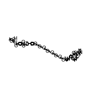 Cc1nn(C)cc1S(=O)(=O)NC(=O)c1ccc(-n2ccc(OCCOCCOCCOCCOCCOCCOCCOc3ccc(C4CCN(S(=O)(=O)c5ccc(C(=O)NCC(=O)OC(C)(C)C)cc5)CC4)cc3)n2)nc1N1C[C@@H](C)CC1(C)C